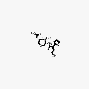 O=C(O)C[C@H]1COC[C@H](NC(=O)/C(=C\CO)c2cccs2)B(O)O1